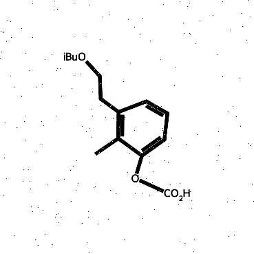 Cc1c(CCOCC(C)C)cccc1OC(=O)O